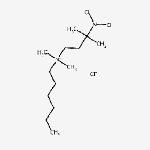 CCCCCC[N+](C)(C)CCC(C)(C)N(Cl)Cl.[Cl-]